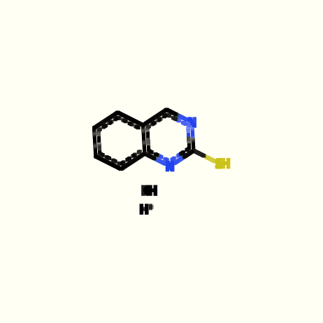 Sc1ncc2ccccc2n1.[H+].[KH]